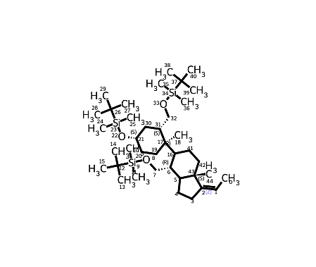 C/C=C1/CCC2[C@H](CO[Si](C)(C)C(C)(C)C)C([C@@]3(C)CC[C@H](O[Si](C)(C)C(C)(C)C)C[C@@H]3CO[Si](C)(C)C(C)(C)C)CC[C@]12C